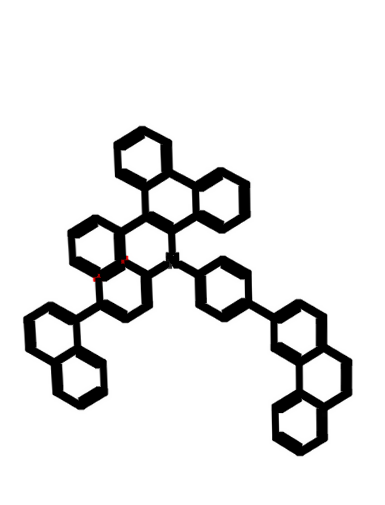 c1ccc(-c2c(N(c3ccc(-c4ccc5ccc6ccccc6c5c4)cc3)c3ccc(-c4cccc5ccccc45)cc3)c3ccccc3c3ccccc23)cc1